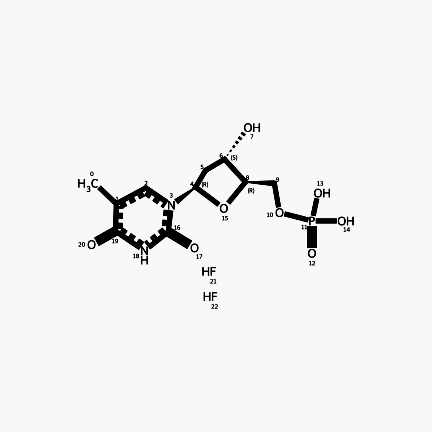 Cc1cn([C@H]2C[C@H](O)[C@@H](COP(=O)(O)O)O2)c(=O)[nH]c1=O.F.F